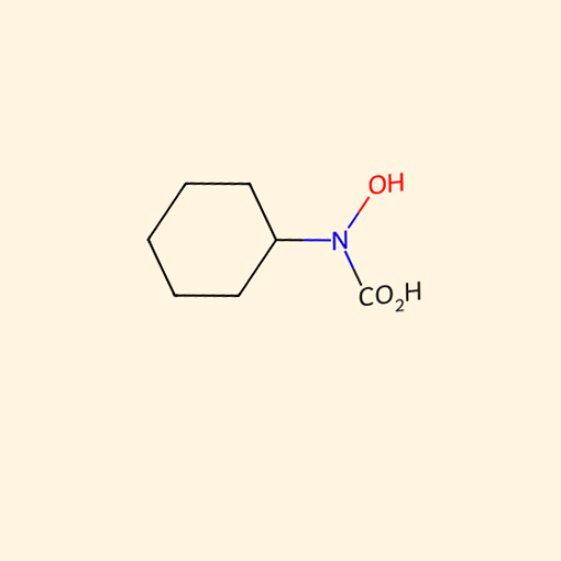 O=C(O)N(O)C1CCCCC1